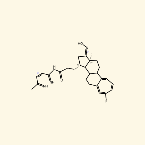 CC(=N)/C=C\C(=N)NC(=O)CC[C@@H]1C/C(=N\O)[C@@]2(C)CCC3C4=CC=CC(F)=C=C4CCC3C12